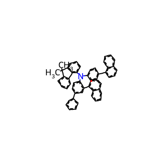 CC1(C)c2ccccc2-c2c(N(c3ccc(-c4cccc5ccccc45)cc3)c3ccc(-c4ccccc4)cc3-c3cccc4ccccc34)cccc21